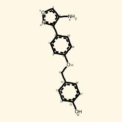 Nc1conc1-c1ccc(OCc2ccc(O)cc2)cc1